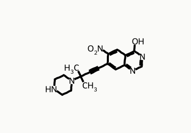 CC(C)(C#Cc1cc2ncnc(O)c2cc1[N+](=O)[O-])N1CCNCC1